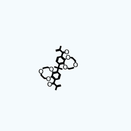 C=C(C)C(=O)c1ccc(C(C)(C)c2ccc(C(=O)C(=C)C)c3c2OCCOCCO3)c2c1OCCOCCO2